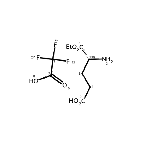 CCOC(=O)[C@H](N)CCC(=O)O.O=C(O)C(F)(F)F